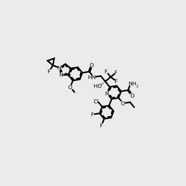 CCOc1c(C(N)=O)cc([C@@](O)(CNC(=O)c2cc(OC)c3nn(C4(F)CC4)cc3c2)C(F)(F)F)nc1-c1ccc(F)c(F)c1Cl